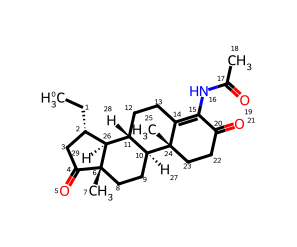 CC[C@H]1CC(=O)[C@@]2(C)CC[C@H]3[C@@H](CCC4=C(NC(C)=O)C(=O)CC[C@@]43C)[C@H]12